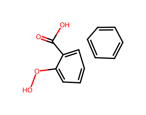 O=C(O)c1ccccc1OO.c1ccccc1